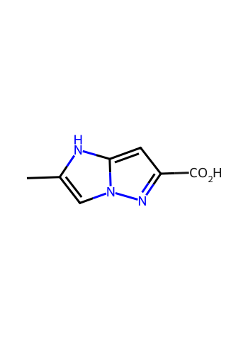 Cc1cn2nc(C(=O)O)cc2[nH]1